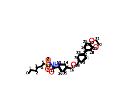 CCCCCCS(=O)(=O)NC(=O)c1ccc(COCc2ccc(-c3ccc4c(c3)OCCO4)cc2)cc1